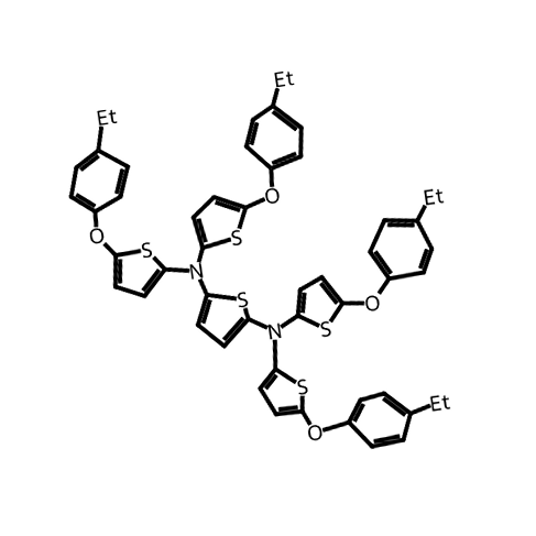 CCc1ccc(Oc2ccc(N(c3ccc(Oc4ccc(CC)cc4)s3)c3ccc(N(c4ccc(Oc5ccc(CC)cc5)s4)c4ccc(Oc5ccc(CC)cc5)s4)s3)s2)cc1